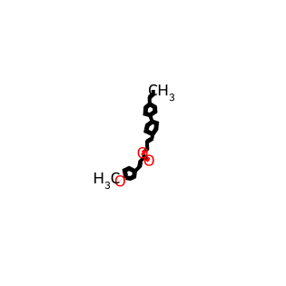 C/C=C/c1ccc(-c2ccc(/C=C/COC(=O)/C=C/c3ccc(OC)cc3)cc2)cc1